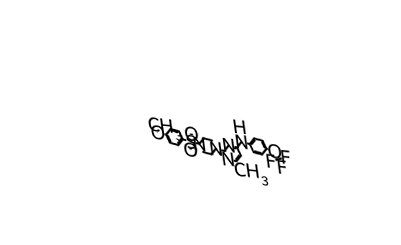 COc1ccc(S(=O)(=O)N2CCN(c3nc(C)cc(Nc4ccc(OC(F)(F)F)cc4)n3)CC2)cc1